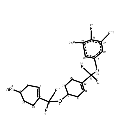 CCCC1CC=C(C(F)(F)OC2CC=C(C(F)(F)Oc3cc(F)c(F)c(F)c3)CC2)CC1